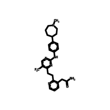 CN1CCCC(c2ccc(Nc3ncc(C(F)(F)F)c(CCc4ncccc4CC(N)=O)n3)cc2)CC1